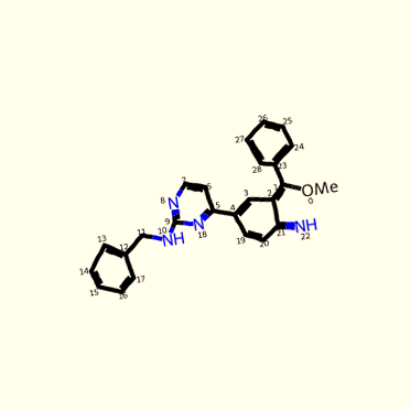 CO/C(=C1/C=C(c2ccnc(NCc3ccccc3)n2)C=CC1=N)c1ccccc1